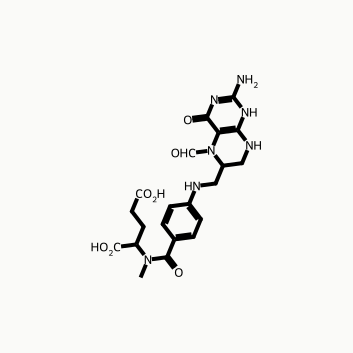 CN(C(=O)c1ccc(NCC2CNc3[nH]c(N)nc(=O)c3N2C=O)cc1)C(CCC(=O)O)C(=O)O